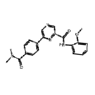 COc1ccccc1NC(=O)c1cncc(-c2ccc(C(=O)N(C)C)cc2)n1